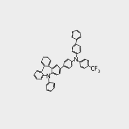 FC(F)(F)c1ccc(N(c2ccc(-c3ccccc3)cc2)c2ccc(-c3ccc4c(c3)-c3ccccc3-c3ccccc3N4c3ccccc3)cc2)cc1